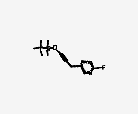 CC(C)(C)[Si](C)(C)OC#CCc1ccc(F)nc1